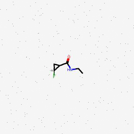 CCNC(=O)C1C[C@@H]1F